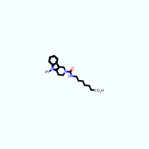 CC(C)n1c2c(c3ccccc31)CN(C(=O)NCCCCCCC(=O)O)CC2